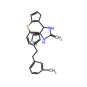 C=C1N/C(=C\C)C(C2=C(Sc3ccc(CCc4cccc(C)c4)cc3)C=CC2)N1